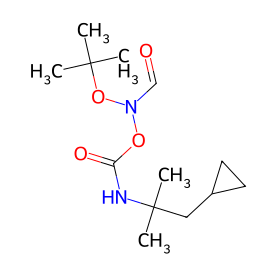 CC(C)(CC1CC1)NC(=O)ON(C=O)OC(C)(C)C